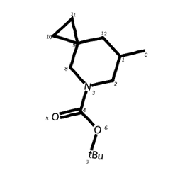 CC1CN(C(=O)OC(C)(C)C)CC2(CC2)C1